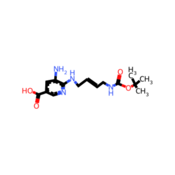 CC(C)(C)OC(=O)NC/C=C/CNc1ncc(C(=O)O)cc1N